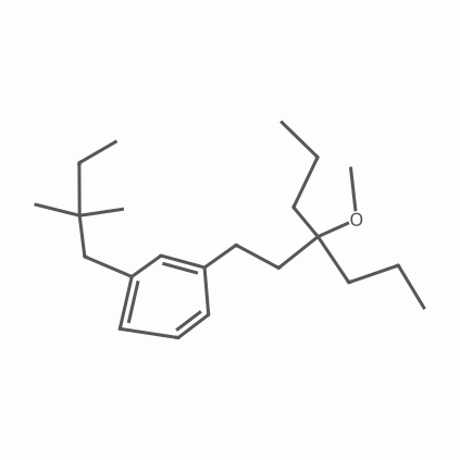 CCCC(CCC)(CCc1cccc(CC(C)(C)CC)c1)OC